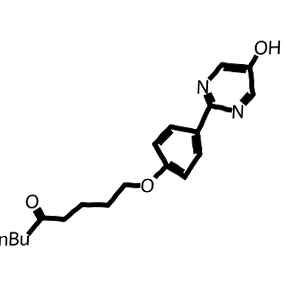 CCCCC(=O)CCCCOc1ccc(-c2ncc(O)cn2)cc1